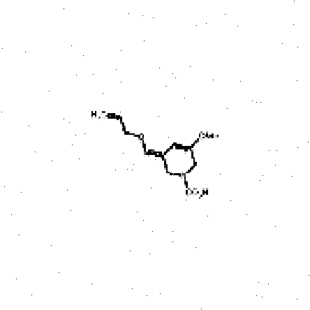 C=CCON=C1C=C(OC)CN(C(=O)O)C1